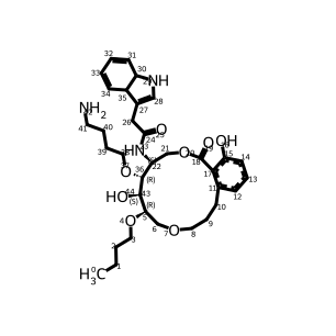 CCCCO[C@@H]1COCCCc2cccc(O)c2C(=O)OC[C@H](NC(=O)CC2=CNC3C=CC=CC23)[C@@H](OCCCCN)[C@@H]1O